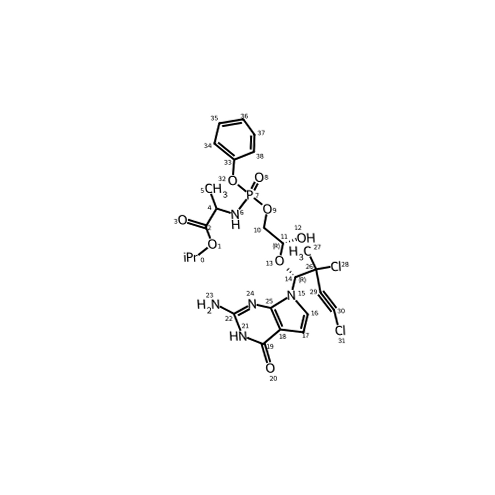 CC(C)OC(=O)C(C)NP(=O)(OC[C@H](O)O[C@@H](n1ccc2c(=O)[nH]c(N)nc21)C(C)(Cl)C#CCl)Oc1ccccc1